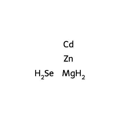 [Cd].[MgH2].[SeH2].[Zn]